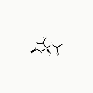 C=COP(=O)(OC(C)Cl)C(C)Cl